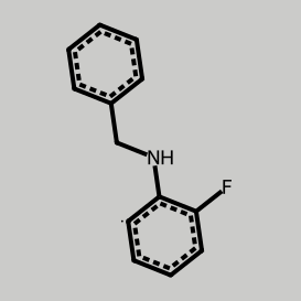 Fc1ccc[c]c1NCc1ccccc1